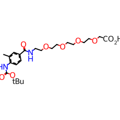 Cc1cc(C(=O)NCCOCCOCCOCCOCC(=O)O)ccc1NC(=O)OC(C)(C)C